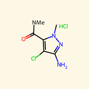 CNC(=O)c1c(Cl)c(N)nn1C.Cl